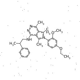 CCOc1ccc(-n2c(C)c3c(C)nnc(NCC(C)c4ccccc4)c3c2C)c(OC)c1